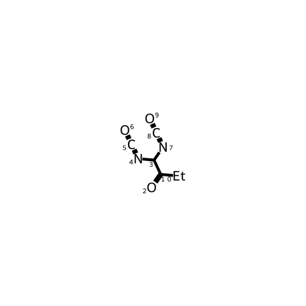 CCC(=O)C(N=C=O)N=C=O